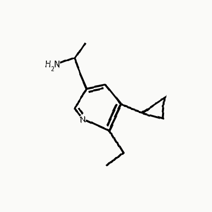 CCc1ncc(C(C)N)cc1C1CC1